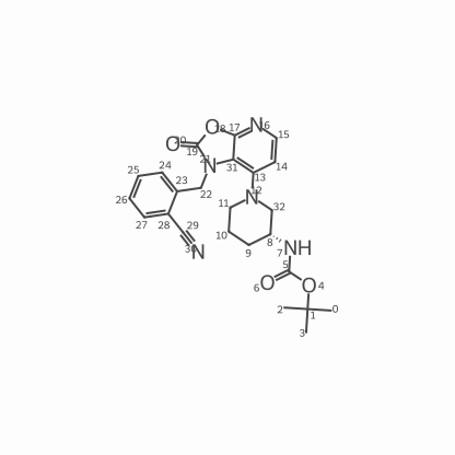 CC(C)(C)OC(=O)N[C@@H]1CCCN(c2ccnc3oc(=O)n(Cc4ccccc4C#N)c23)C1